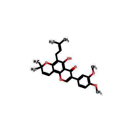 COc1ccc(-c2coc3c4c(c(CC=C(C)C)c(O)c3c2=O)OC(C)(C)C=C4)cc1OC